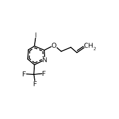 C=CCCOc1nc(C(F)(F)F)ccc1I